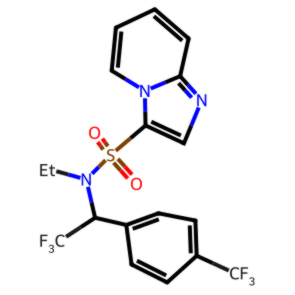 CCN(C(c1ccc(C(F)(F)F)cc1)C(F)(F)F)S(=O)(=O)c1cnc2ccccn12